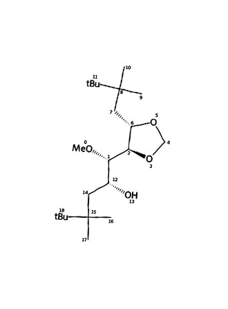 CO[C@H]([C@@H]1OCO[C@H]1CC(C)(C)C(C)(C)C)[C@H](O)CC(C)(C)C(C)(C)C